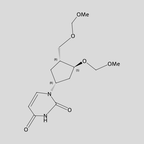 COCOC[C@H]1C[C@@H](n2ccc(=O)[nH]c2=O)C[C@@H]1OCOC